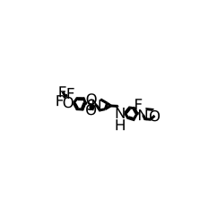 O=S(=O)(c1ccc(OC(F)(F)F)cc1)N1CC2C(CNc3ccc(N4CCOCC4)c(F)c3)C2C1